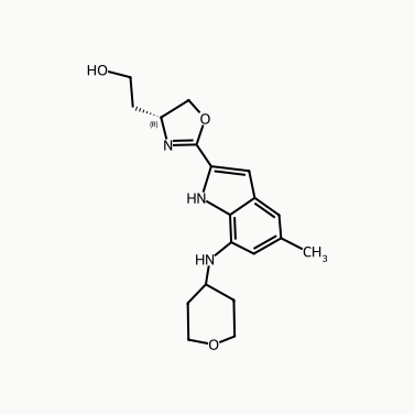 Cc1cc(NC2CCOCC2)c2[nH]c(C3=N[C@H](CCO)CO3)cc2c1